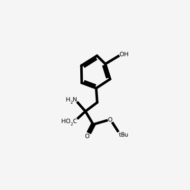 CC(C)(C)OC(=O)C(N)(Cc1cccc(O)c1)C(=O)O